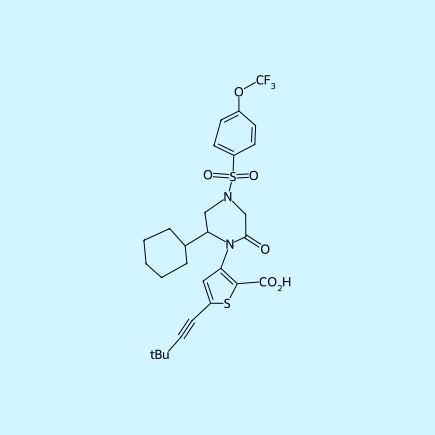 CC(C)(C)C#Cc1cc(N2C(=O)CN(S(=O)(=O)c3ccc(OC(F)(F)F)cc3)CC2C2CCCCC2)c(C(=O)O)s1